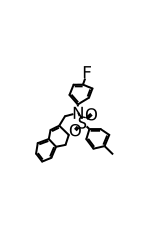 Cc1ccc(S(=O)(=O)N(CC2=Cc3ccccc3CC2)c2ccc(F)cc2)cc1